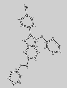 Oc1ccc(-c2nc3cc(OCc4ccccc4)ccc3n2Cc2ccccc2)cc1